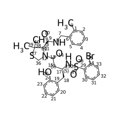 Cc1ccccc1CNC(=O)[C@H]1N(C(=O)[C@@H](O)[C@H](Cc2ccccc2)NS(=O)(=O)c2ccccc2Br)CSC1(C)C